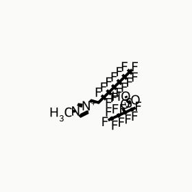 Cn1cc[n+](CCC(F)(F)C(F)(F)C(F)(F)C(F)(F)C(F)(F)C(F)(F)F)c1.O=S(=O)(O)C(F)(F)C(F)(F)C(F)(F)C(F)(F)F